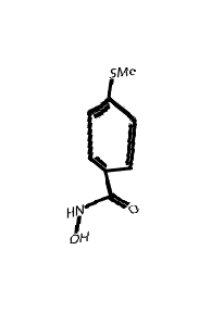 CSc1ccc(C(=O)NO)cc1